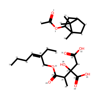 CC(=O)OC1CC2CCC1(C)C2(C)C.CCCC=C(CC)COC(=O)C(C)C(O)(CC(=O)O)C(=O)O